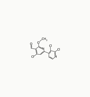 COc1nc(-c2ccnc(Cl)c2Cl)cc(Cl)c1C=O